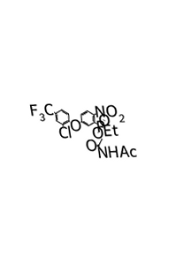 CCP(=O)(OCC(=O)NC(C)=O)c1cc(Oc2ccc(C(F)(F)F)cc2Cl)ccc1[N+](=O)[O-]